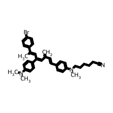 C=C(/C=C/c1ccc(N(C)CCCCCC#N)cc1)/C=C(\C=C(/C)c1ccc(Br)cc1)c1ccc(N(C)C)cc1